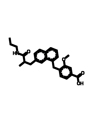 CCCNC(=O)C(C)Cc1ccc2cccc(Cc3ccc(C(=O)O)cc3OC)c2c1